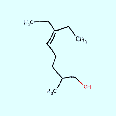 CCC(=CCCC(C)CO)CC